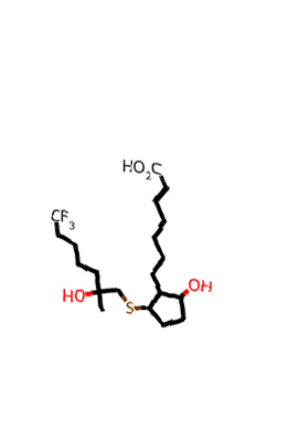 CC(O)(CCCCC(F)(F)F)CSC1CCC(O)C1CCCCCCC(=O)O